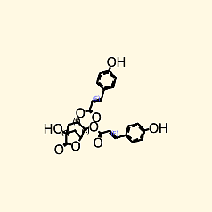 O=C(/C=C/c1ccc(O)cc1)O[C@H]1C[C@]2(O)CC(OC2=O)[C@@H]1OC(=O)/C=C/c1ccc(O)cc1